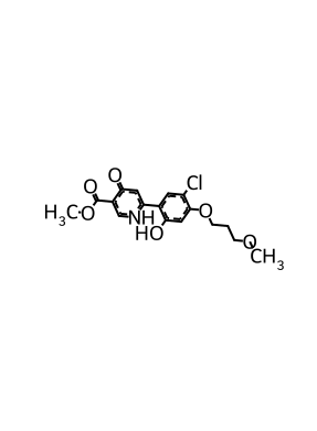 COCCCOc1cc(O)c(-c2cc(=O)c(C(=O)OC)c[nH]2)cc1Cl